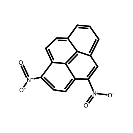 O=[N+]([O-])c1ccc2c([N+](=O)[O-])cc3cccc4ccc1c2c43